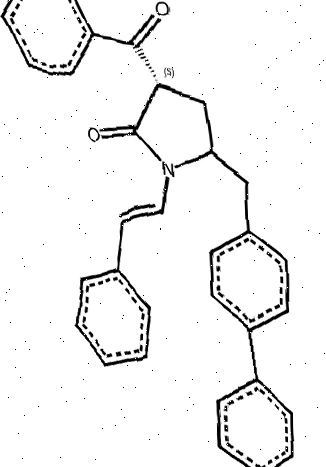 O=C(c1ccccc1)[C@@H]1CC(Cc2ccc(-c3ccccc3)cc2)N(C=Cc2ccccc2)C1=O